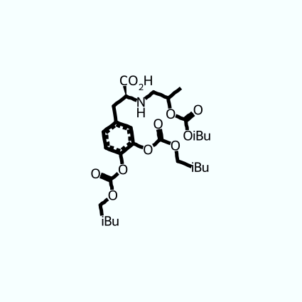 CCC(C)COC(=O)Oc1ccc(C[C@H](NCC(C)OC(=O)OCC(C)C)C(=O)O)cc1OC(=O)OCC(C)CC